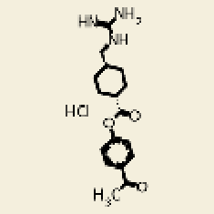 CC(=O)c1ccc(OC(=O)[C@H]2CC[C@H](CNC(=N)N)CC2)cc1.Cl